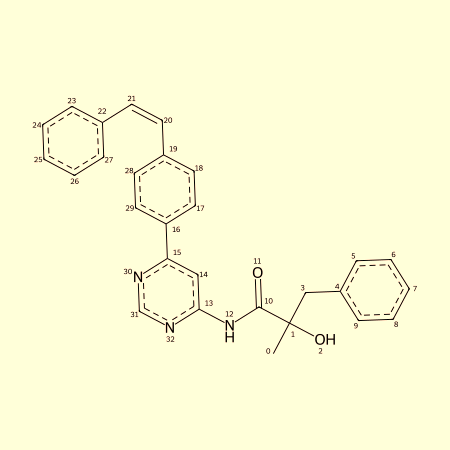 CC(O)(Cc1ccccc1)C(=O)Nc1cc(-c2ccc(/C=C\c3ccccc3)cc2)ncn1